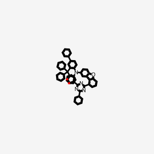 c1ccc(-c2ccc3c(c2)C(c2ccccc2)(c2ccccc2)c2ccccc2N3c2ccc3oc4cccc(-c5nc(-c6ccccc6)nc(-c6ccccc6)n5)c4c3c2)cc1